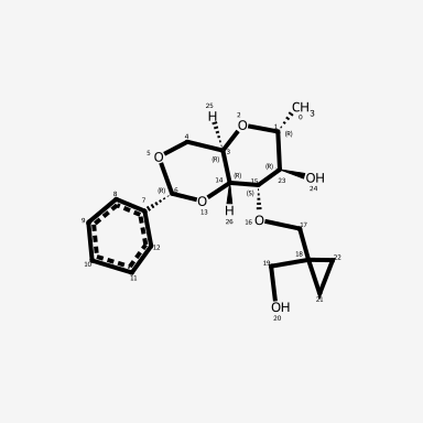 C[C@H]1O[C@@H]2CO[C@@H](c3ccccc3)O[C@H]2[C@@H](OCC2(CO)CC2)[C@@H]1O